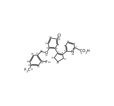 O=C(O)c1cccc(C2=C(c3cc(Cl)ccc3OCc3ccc(C(F)(F)F)cc3F)CCC2)n1